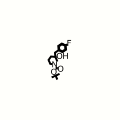 CC(C)(C)OC(=O)N1CCCC(O)(Cc2ccc(F)cc2)C1